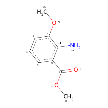 COC(=O)c1cccc(OC)c1N